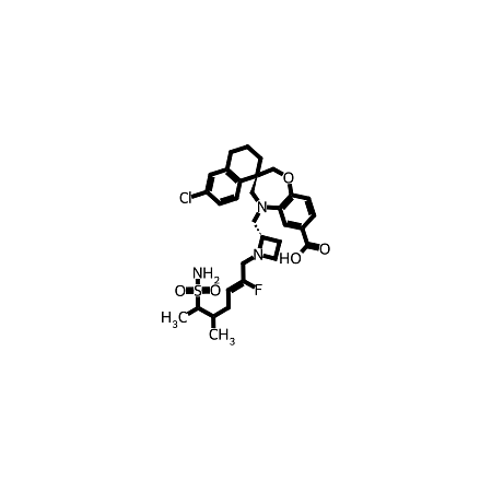 CC(CC=C(F)CN1CC[C@H]1CN1C[C@@]2(CCCc3cc(Cl)ccc32)COc2ccc(C(=O)O)cc21)C(C)S(N)(=O)=O